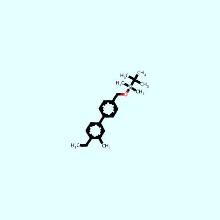 CCc1ccc(-c2ccc(CO[Si](C)(C)C(C)(C)C)cc2)cc1C